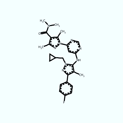 Cc1nn(-c2cc(Nc3c(C)c(-c4ccc(F)cc4)nn3CC3CC3)ncn2)c(C)c1C(=O)N(C)C